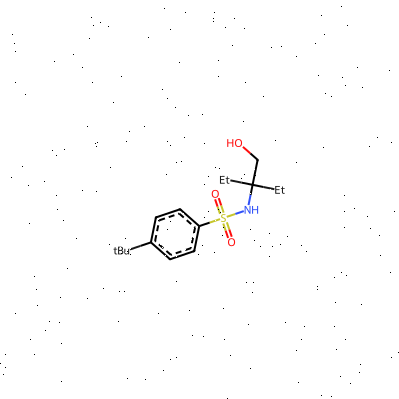 CCC(CC)(CO)NS(=O)(=O)c1ccc(C(C)(C)C)cc1